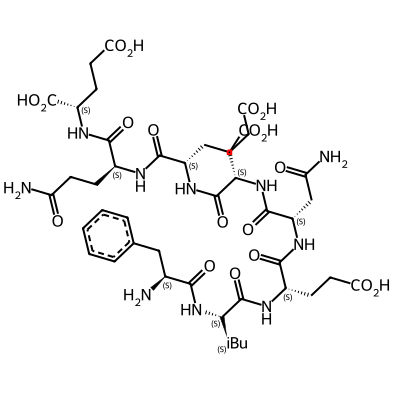 CC[C@H](C)[C@H](NC(=O)[C@@H](N)Cc1ccccc1)C(=O)N[C@@H](CCC(=O)O)C(=O)N[C@@H](CC(N)=O)C(=O)N[C@@H](CCC(=O)O)C(=O)N[C@@H](CCC(=O)O)C(=O)N[C@@H](CCC(N)=O)C(=O)N[C@@H](CCC(=O)O)C(=O)O